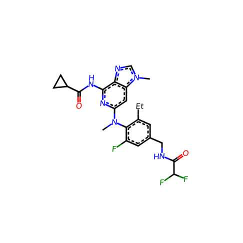 CCc1cc(CNC(=O)C(F)F)cc(F)c1N(C)c1cc2c(ncn2C)c(NC(=O)C2CC2)n1